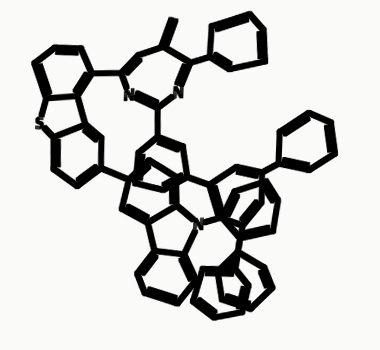 C=C1C=C(c2cccc3sc4ccc(-c5ccc6c(c5)c5ccccc5n6-c5ccccc5-c5ccccc5)cc4c23)N=C(c2cccc(-c3cc(-c4ccccc4)cc(-c4ccccc4)c3)c2)N=C1c1ccccc1